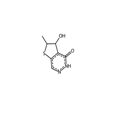 CC1Sc2cn[nH]c(=O)c2C1O